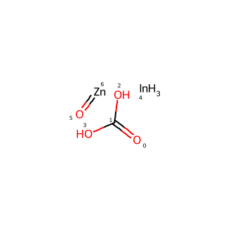 O=C(O)O.[InH3].[O]=[Zn]